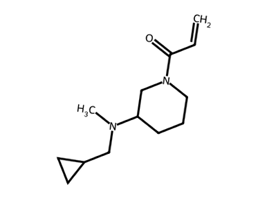 C=CC(=O)N1CCCC(N(C)CC2CC2)C1